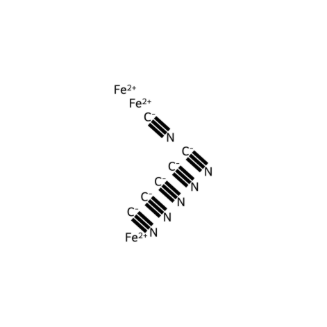 [C-]#N.[C-]#N.[C-]#N.[C-]#N.[C-]#N.[C-]#N.[Fe+2].[Fe+2].[Fe+2]